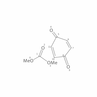 COC(=O)OC.O=C1C=CC(=O)C=C1